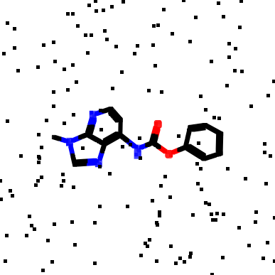 Cn1cnc2c(NC(=O)Oc3ccccc3)ccnc21